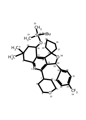 CC1(C)Cc2nc(C3CCOCC3)c3c(c2C(O[Si](C)(C)C(C)(C)C)C1)C1(CCCC1)O[C@H]3c1ccc(C(F)(F)F)cc1